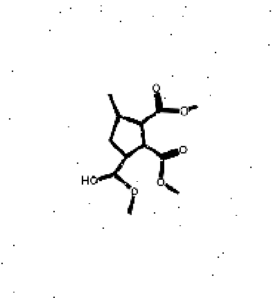 COC(=O)C1C(C)CC(C(O)OC)C1C(=O)OC